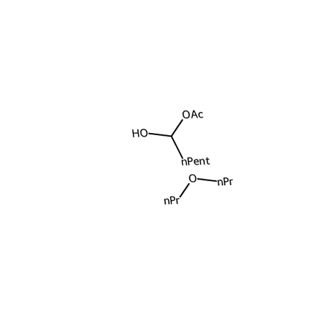 CCCCCC(O)OC(C)=O.CCCOCCC